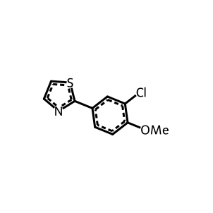 COc1ccc(-c2nccs2)cc1Cl